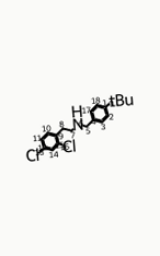 CC(C)(C)c1ccc(CNCCc2ccc(Cl)cc2Cl)cc1